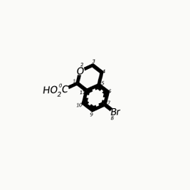 O=C(O)C1OCCc2cc(Br)ccc21